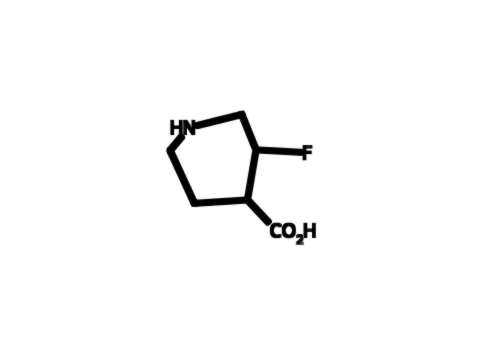 O=C(O)C1CCNCC1F